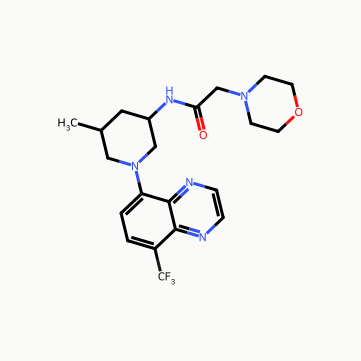 CC1CC(NC(=O)CN2CCOCC2)CN(c2ccc(C(F)(F)F)c3nccnc23)C1